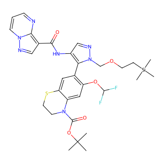 CC(C)(C)OC(=O)N1CCSc2cc(-c3c(NC(=O)c4cnn5cccnc45)cnn3COCC[Si](C)(C)C)c(OC(F)F)cc21